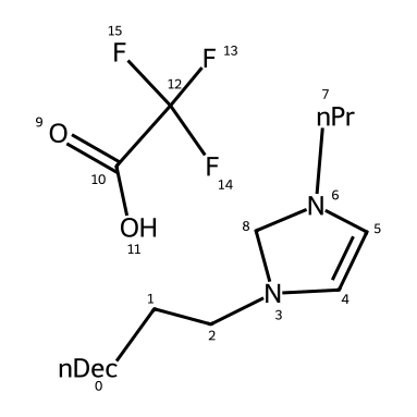 CCCCCCCCCCCCN1C=CN(CCC)C1.O=C(O)C(F)(F)F